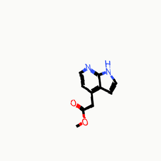 COC(=O)Cc1ccnc2[nH]ccc12